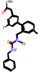 CCN(Cc1cc(C)ccc1-c1cc(F)cc(CC(=O)OC)c1)C(=O)NCc1ccccc1